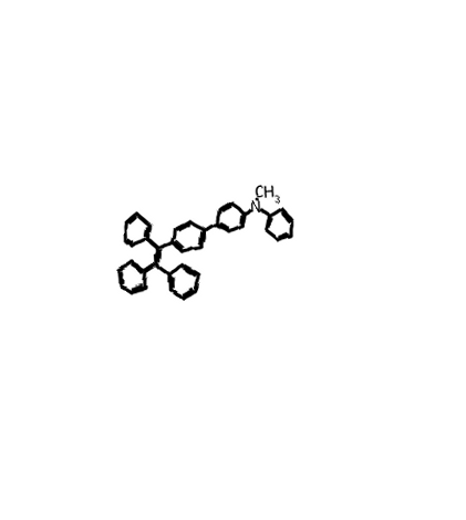 CN(c1ccccc1)c1ccc(-c2ccc(C(=C(c3ccccc3)c3ccccc3)c3ccccc3)cc2)cc1